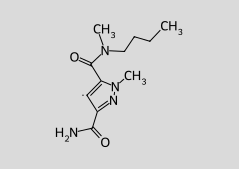 CCCCN(C)C(=O)c1[c]c(C(N)=O)nn1C